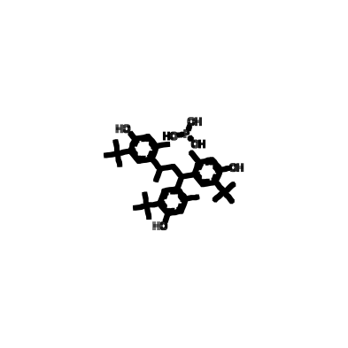 Cc1cc(O)c(C(C)(C)C)cc1C(C)CC(c1cc(C(C)(C)C)c(O)cc1C)c1cc(C(C)(C)C)c(O)cc1C.OP(O)O